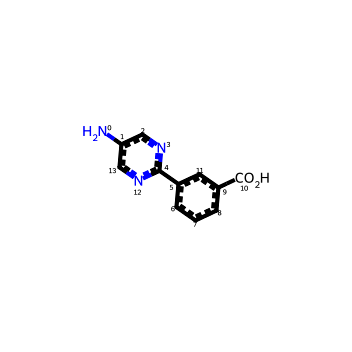 Nc1cnc(-c2cccc(C(=O)O)c2)nc1